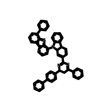 C1=CC2c3ccccc3N(c3cccc4c3sc3c(-c5ccccc5)cccc34)C2C=C1C1=NC(c2ccc(-c3ccccc3)cc2)CC(c2ccccc2)=N1